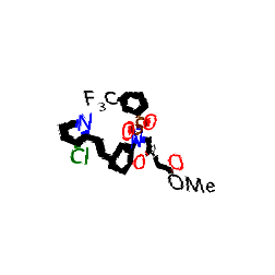 COC(=O)CC[C@H]1CN(S(=O)(=O)c2cccc(C(F)(F)F)c2)c2cc(C=Cc3ncccc3Cl)ccc2O1